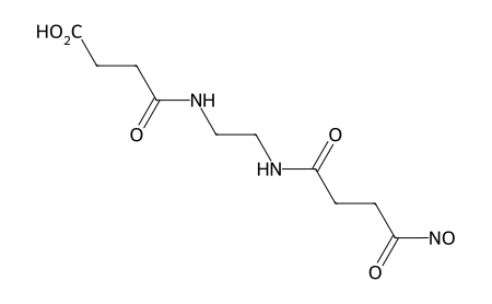 O=NC(=O)CCC(=O)NCCNC(=O)CCC(=O)O